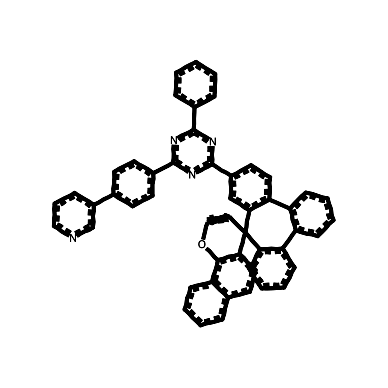 c1ccc(-c2nc(-c3ccc(-c4cccnc4)cc3)nc(-c3ccc4c(c3)C3(c5ccccc5Oc5c3ccc3ccccc53)c3ccccc3-c3ccccc3-4)n2)cc1